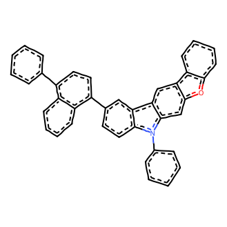 c1ccc(-c2ccc(-c3ccc4c(c3)c3cc5c(cc3n4-c3ccccc3)oc3ccccc35)c3ccccc23)cc1